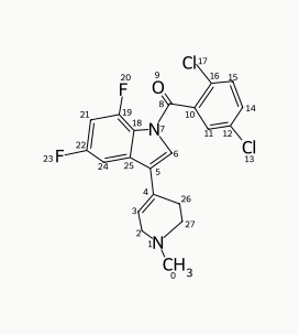 CN1CC=C(c2cn(C(=O)c3cc(Cl)ccc3Cl)c3c(F)cc(F)cc23)CC1